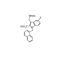 CCOC(=O)c1c(CNC(C)=O)c2cc(F)ccc2n1Cc1cccc2ccccc12